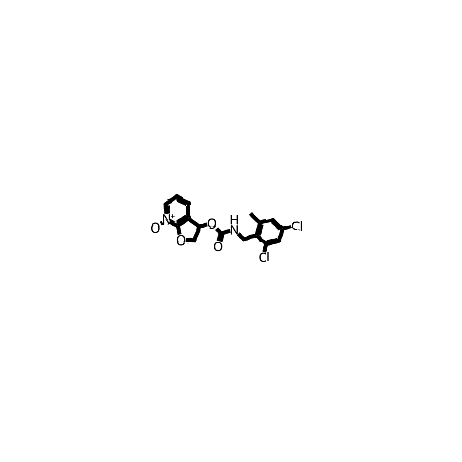 Cc1cc(Cl)cc(Cl)c1CNC(=O)OC1COc2c1ccc[n+]2[O-]